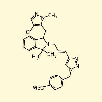 COc1ccc(Cn2cc(/C=C/CN3C(Cc4c(Cl)cnn4C)c4ccccc4C3(C)C)nn2)cc1